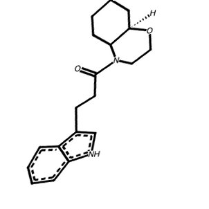 O=C(CCc1c[nH]c2ccccc12)N1CCO[C@@H]2CCCCC21